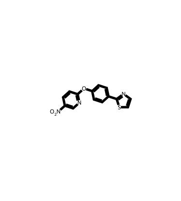 O=[N+]([O-])c1ccc(Oc2ccc(-c3nccs3)cc2)nc1